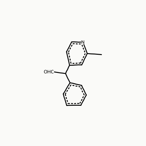 Cc1cc(C(C=O)c2ccccc2)ccn1